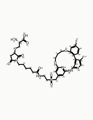 N[C@@H](CSC1CC(=O)N(CCCCCC(=O)NCCS(=O)(=O)Cc2cc3nc(c2)OCCCOc2cc(F)ccc2-c2cc(ncc2F)N3)C1=O)C(=O)O